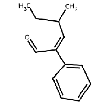 CCC(C)/C=C(\C=O)c1ccccc1